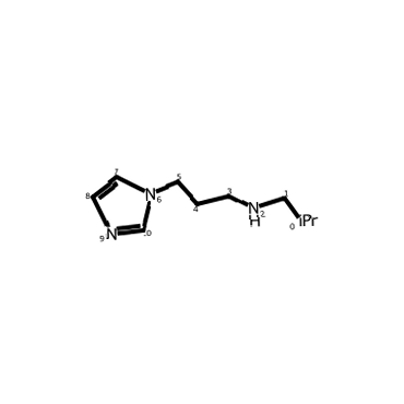 CC(C)CNCCCn1ccnc1